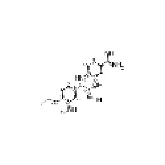 CCOc1ccc(C(Nc2ccc(C(=N)N)cc2)C(=O)O)cc1NC.Cl